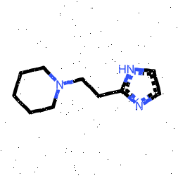 [c]1c[nH]c(CCN2CCCCC2)n1